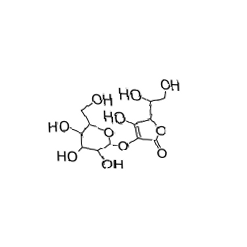 O=C1OC(C(O)CO)C(O)=C1OC1OC(CO)C(O)C(O)C1O